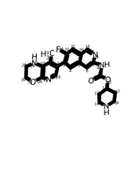 Cc1c(-c2cc3cc(NC(=O)OC4CCNCC4)ncc3cc2F)cnc2c1NCCO2